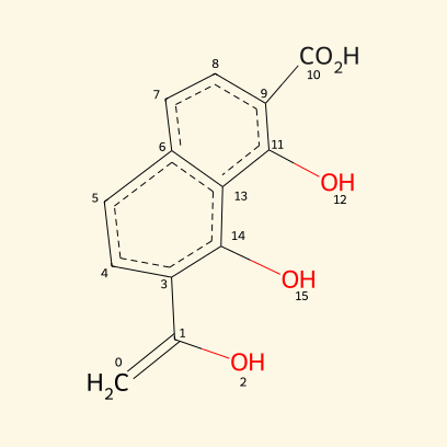 C=C(O)c1ccc2ccc(C(=O)O)c(O)c2c1O